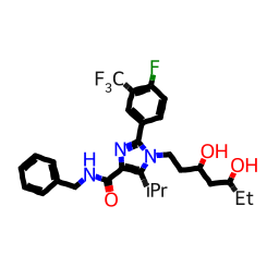 [CH2]CC(O)CC(O)CCn1c(-c2ccc(F)c(C(F)(F)F)c2)nc(C(=O)NCc2ccccc2)c1C(C)C